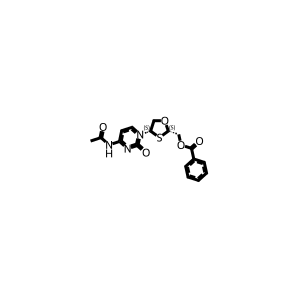 CC(=O)Nc1ccn([C@@H]2CO[C@H](COC(=O)c3ccccc3)S2)c(=O)n1